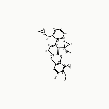 COc1c(F)cc(CN2C=C(C3(N)CC3)C(c3ccccc3OC3CC3)=CC2)c(C)c1Cl